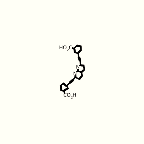 O=C(O)c1cccc(C#Cc2ccc3ccc(C#Cc4cccc(C(=O)O)c4)nc3n2)c1